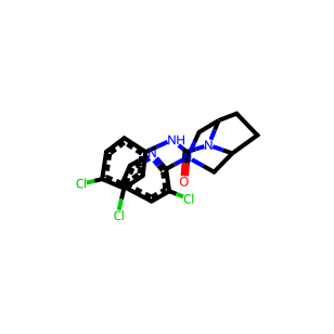 O=C(Nc1ccc(Cl)c(Cl)c1)N1C2CCC1CN(c1ncccc1Cl)C2